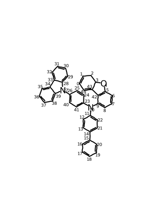 C1=CCC2Oc3cccc(N(c4ccc(-c5ccccc5)cc4)c4ccc(-n5c6ccccc6c6ccccc65)cc4)c3C2=C1